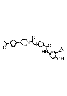 CC(=O)c1ccc(N2CCN(C(=O)CN3CC[C@@H](C(=O)Nc4ccc(O)c(C5CC5)c4)C3)CC2)cc1